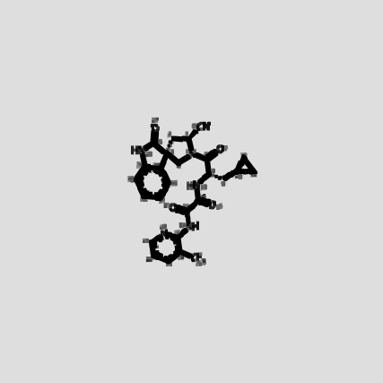 N#C[C@@H]1C[C@@]2(CN1C(=O)[C@H](CC1CC1)NC(=O)C(=O)Nc1ncccc1C(F)(F)F)C(=O)Nc1ccccc12